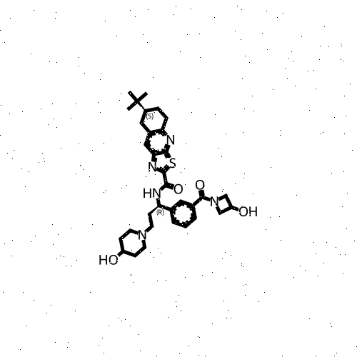 CC(C)(C)[C@H]1CCc2nc3sc(C(=O)N[C@H](CCN4CCC(O)CC4)c4cccc(C(=O)N5CC(O)C5)c4)nc3cc2C1